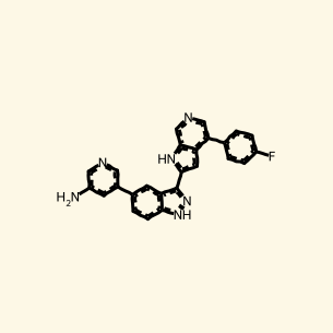 Nc1cncc(-c2ccc3[nH]nc(-c4cc5c(-c6ccc(F)cc6)cncc5[nH]4)c3c2)c1